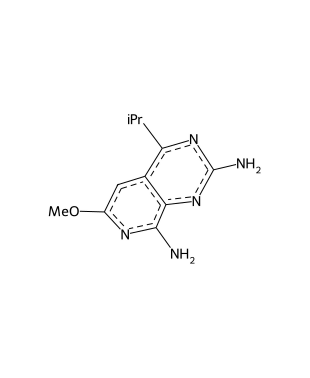 COc1cc2c(C(C)C)nc(N)nc2c(N)n1